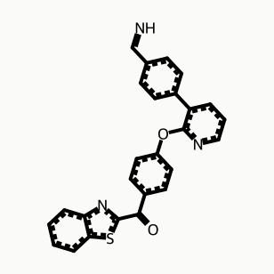 N=Cc1ccc(-c2cccnc2Oc2ccc(C(=O)c3nc4ccccc4s3)cc2)cc1